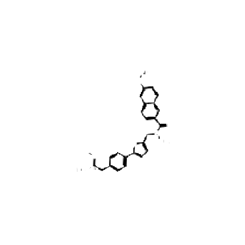 CCCOc1ccc2cc(C(=O)N(C)Cc3ccc(-c4ccc(C[C@H](OCC)C(=O)O)cc4)s3)ccc2c1